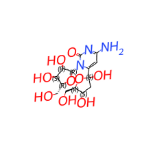 Nc1cc([C@]2(O)C[C@H](O)[C@@H](CO)O2)n([C@@H]2O[C@H](CO)[C@@H](O)[C@H]2O)c(=O)n1